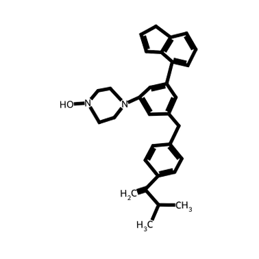 C=C(c1ccc(Cc2cc(-c3cccc4c3C=CC4)cc(N3CCN(O)CC3)c2)cc1)C(C)C